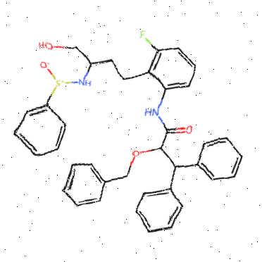 O=C(Nc1cccc(F)c1CCC(CO)N[S+]([O-])c1ccccc1)C(OCc1ccccc1)C(c1ccccc1)c1ccccc1